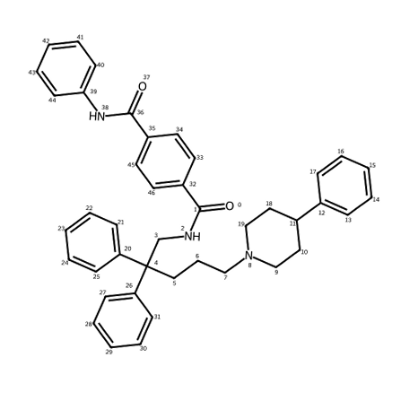 O=C(NCC(CCCN1CCC(c2ccccc2)CC1)(c1ccccc1)c1ccccc1)c1ccc(C(=O)Nc2ccccc2)cc1